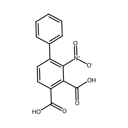 O=C(O)c1ccc(-c2ccccc2)c([N+](=O)[O-])c1C(=O)O